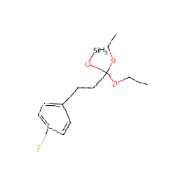 CCOC(CCc1ccc(F)cc1)(O[SiH3])OCC